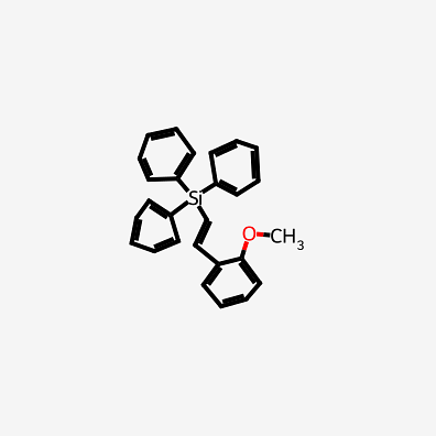 COc1ccccc1C=C[Si](c1ccccc1)(c1ccccc1)c1ccccc1